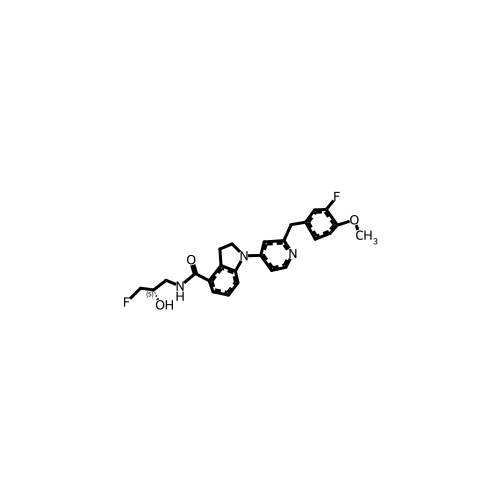 COc1ccc(Cc2cc(N3CCc4c(C(=O)NC[C@H](O)CF)cccc43)ccn2)cc1F